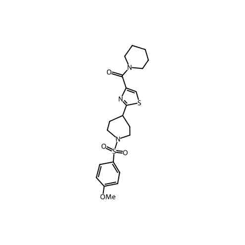 COc1ccc(S(=O)(=O)N2CCC(c3nc(C(=O)N4CCCCC4)cs3)CC2)cc1